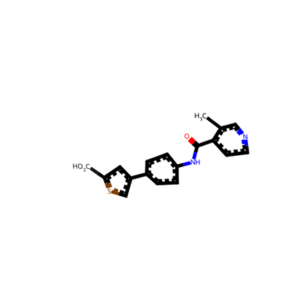 Cc1cnccc1C(=O)Nc1ccc(-c2csc(C(=O)O)c2)cc1